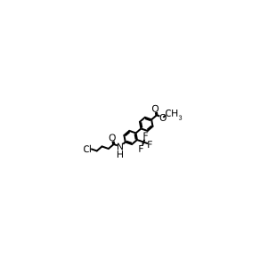 COC(=O)c1ccc(-c2ccc(NC(=O)CCCCl)cc2C(F)(F)F)cc1